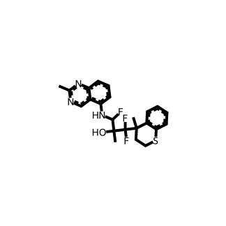 Cc1ncc2c(NC(F)C(C)(O)C(F)(F)C3(C)CCSc4ccccc43)cccc2n1